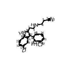 Cl.N#CCCNCCc1[nH]c2ccc(Cl)cc2c1-c1ccccc1F